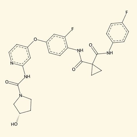 O=C(Nc1cc(Oc2ccc(NC(=O)C3(C(=O)Nc4ccc(F)cc4)CC3)c(F)c2)ccn1)N1CC[C@H](O)C1